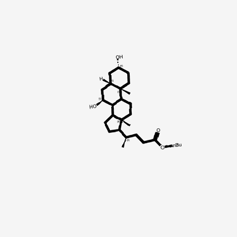 CCCCOC(=O)CC[C@@H](C)C1CCC2C3C(CC[C@@]21C)[C@@]1(C)CC[C@@H](O)C[C@H]1C[C@@H]3O